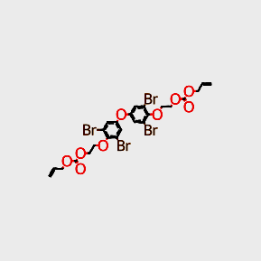 C=CCOC(=O)OCCOc1c(Br)cc(Oc2cc(Br)c(OCCOC(=O)OCC=C)c(Br)c2)cc1Br